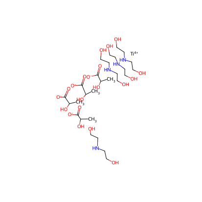 CC(O)C(=O)[O-].CC(O)C(=O)[O-].CC(O)C(=O)[O-].CC(O)C(=O)[O-].OCCNCCO.OCCNCCO.OCCNCCO.OCCNCCO.[Ti+4]